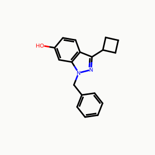 Oc1ccc2c(C3CCC3)nn(Cc3ccccc3)c2c1